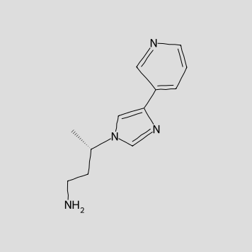 C[C@@H](CCN)n1cnc(-c2cccnc2)c1